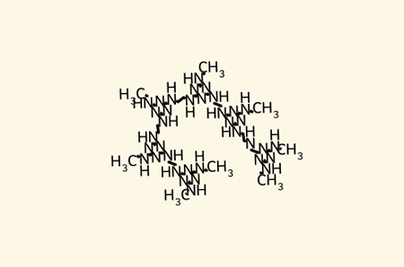 CCNc1nc(CNCCNc2nc(NCC)nc(NCCNc3nc(NCC)nc(NCCNc4nc(NCC)nc(NCCNc5nc(NCC)nc(NCCNc6nc(NC)nc(NCC)n6)n5)n4)n3)n2)nc(NC)n1